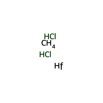 C.Cl.Cl.[Hf]